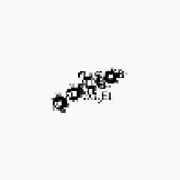 CCOC(=O)NC1(CN2CCN(S(=O)(=O)c3ccc(Br)cc3)CC2=O)CCN(c2ccncc2)CC1